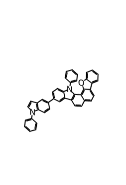 c1ccc(-n2ccc3cc(-c4ccc5c(c4)c4ccc6ccc7c8ccccc8oc7c6c4n5-c4ccccc4)ccc32)cc1